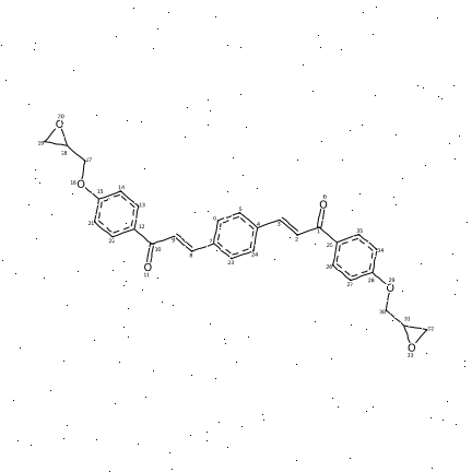 O=C(C=Cc1ccc(C=CC(=O)c2ccc(OCC3CO3)cc2)cc1)c1ccc(OCC2CO2)cc1